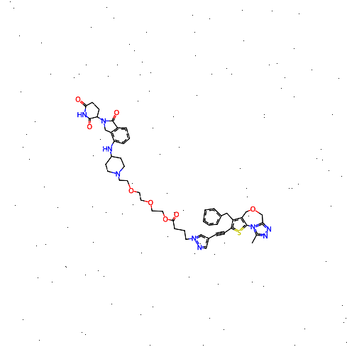 Cc1nnc2n1-c1sc(C#Cc3cnn(CCCC(=O)OCCOCCOCCN4CCC(Nc5cccc6c5CN(C5CCC(=O)NC5=O)C6=O)CC4)c3)c(Cc3ccccc3)c1COC2